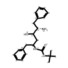 CC(C)(C)OC(=O)NC(Cc1ccccc1)CC(O)[C@@H](N)Cc1ccccc1